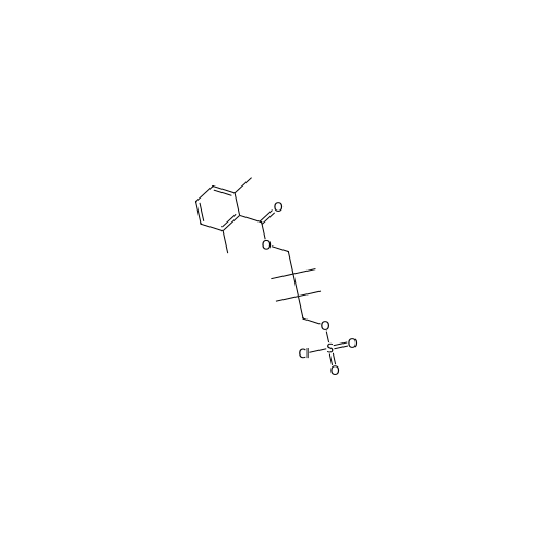 Cc1cccc(C)c1C(=O)OCC(C)(C)C(C)(C)COS(=O)(=O)Cl